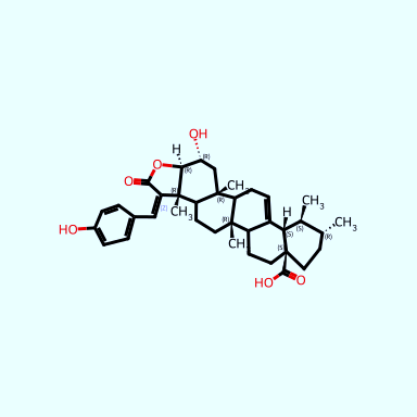 C[C@H]1[C@H](C)CC[C@]2(C(=O)O)CCC3C(=CCC4[C@@]3(C)CCC3[C@]4(C)C[C@@H](O)[C@@H]4OC(=O)/C(=C\c5ccc(O)cc5)[C@@]34C)[C@H]12